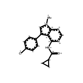 CC(C)(C)n1cc(-c2ccc(Cl)cc2)c2c(NC(=O)C3CC3)ncnc21